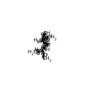 C=CC(=O)OCC(C)(COC(=O)C=C)NC(=O)OC(OC(=O)NC(C)(COC(=O)C=C)COC(=O)C=C)C(F)(F)F